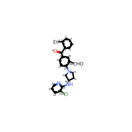 CCc1ccccc1C(=O)c1ccc(N2CC[C@H](Nc3ncccc3Cl)C2)c(C=O)c1